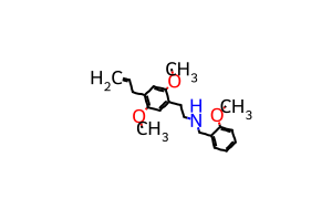 C=CCc1cc(OC)c(CCNCc2ccccc2OC)cc1OC